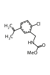 C=C(C)c1ccc(Cl)c(CNC(=O)OC)c1